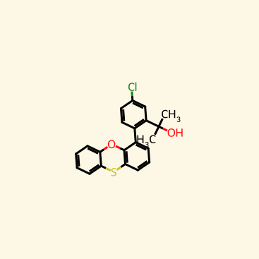 CC(C)(O)c1cc(Cl)ccc1-c1cccc2c1Oc1ccccc1S2